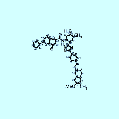 COc1cc2c(cc1C)CCN(CCc1ccc(-n3nnc(-c4cc(C)c(C)cc4NC(=O)c4cc(=O)c5cc(-c6ccncc6)ccc5o4)n3)cc1)C2